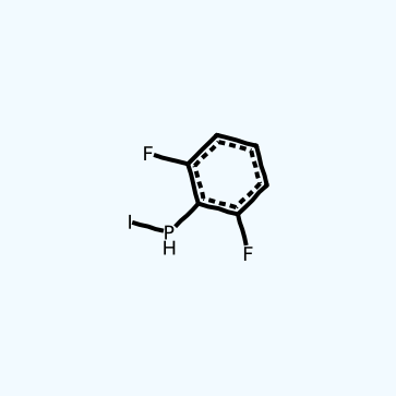 Fc1cccc(F)c1PI